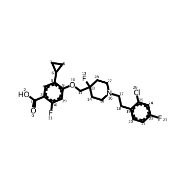 O=C(O)c1cc(C2CC2)c(OCC2(F)CCN(CCc3ccc(F)cc3Cl)CC2)cc1F